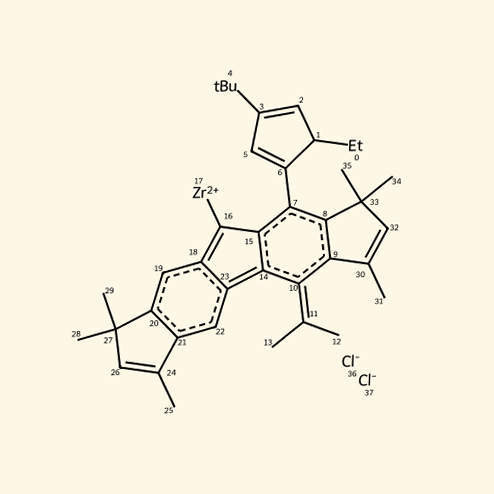 CCC1C=C(C(C)(C)C)C=C1c1c2c(c(=C(C)C)c3c1[C]([Zr+2])=c1cc4c(cc1=3)C(C)=CC4(C)C)C(C)=CC2(C)C.[Cl-].[Cl-]